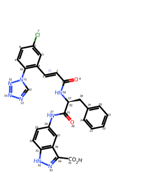 O=C(/C=C/c1cc(Cl)ccc1-n1cnnn1)N[C@@H](Cc1ccccc1)C(=O)Nc1ccc2[nH]nc(C(=O)O)c2c1